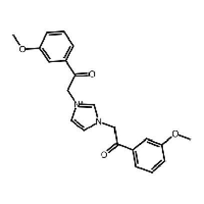 COc1cccc(C(=O)Cn2cc[n+](CC(=O)c3cccc(OC)c3)c2)c1